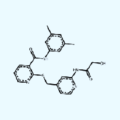 Cc1cc(C)cc(NC(=O)c2cccnc2SCc2ccnc(NC(=O)CO)c2)c1